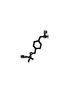 CCNCC1CCC(CO[Si](C)(C)C(C)(C)C)CC1